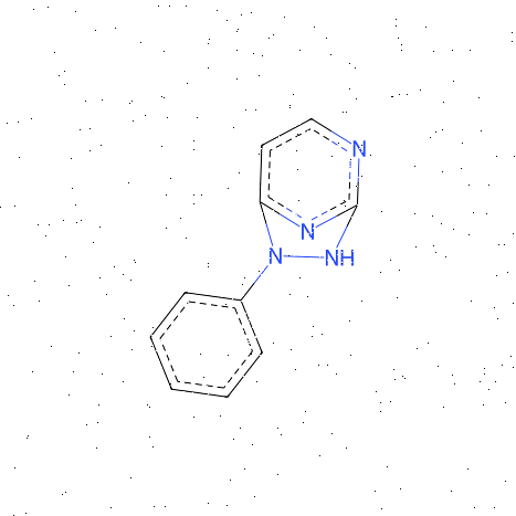 c1ccc(N2Nc3nccc2n3)cc1